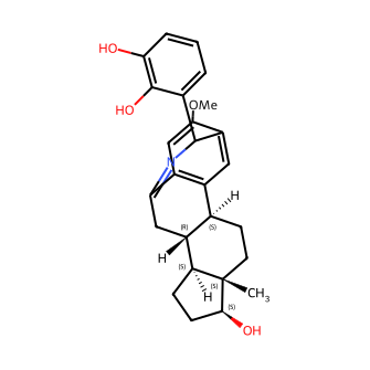 COc1cc2c3cc1C(c1cccc(O)c1O)N=C2C[C@@H]1[C@@H]3CC[C@]2(C)[C@@H](O)CC[C@@H]12